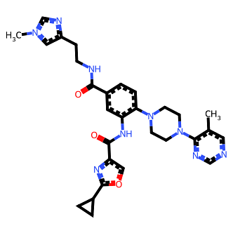 Cc1cncnc1N1CCN(c2ccc(C(=O)NCCc3cn(C)cn3)cc2NC(=O)c2coc(C3CC3)n2)CC1